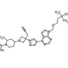 CC1CC(N2CC(CC#N)(n3cc(-c4ncnc5c4ccn5COCC[Si](C)(C)C)cn3)C2)CCN1C(=O)O